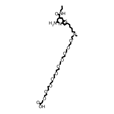 CCCNC(=O)C1=Cc2sc(CCCCCN(C)CCOCCOCCOCCOCCOCCOCCOCCOCCOCCOCCC(=O)O)cc2N=C(N)C1